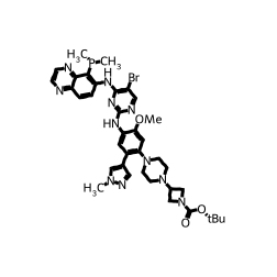 COc1cc(N2CCN(C3CN(C(=O)OC(C)(C)C)C3)CC2)c(-c2cnn(C)c2)cc1Nc1ncc(Br)c(Nc2ccc3nccnc3c2P(C)C)n1